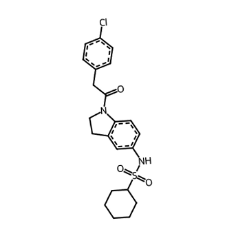 O=C(Cc1ccc(Cl)cc1)N1CCc2cc(NS(=O)(=O)C3CCCCC3)ccc21